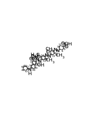 COc1cc(N=Nc2ccc(S(=O)(=O)O)cc2)c(C)cc1N=Nc1cc(OC)c(N=Nc2c(S(=O)(=O)O)cc3cc(Nc4ccccc4)ccc3c2O)cc1C